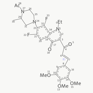 CCn1cc(C(=O)/C=C/c2cc(OC)c(OC)c(OC)c2)c(=O)c2cc(F)c(N3CCN(C(C)=O)C(C)C3)c(F)c21